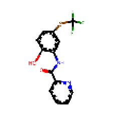 O=C(Nc1cc(SC(F)(F)F)ccc1O)c1ccccn1